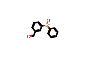 O=Cc1cccc([S+]([O-])c2ccccc2)c1